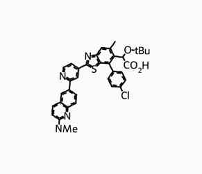 CNc1ccc2cc(-c3cc(-c4nc5cc(C)c(C(OC(C)(C)C)C(=O)O)c(-c6ccc(Cl)cc6)c5s4)ccn3)ccc2n1